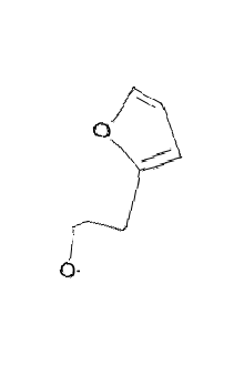 [O]CCc1ccco1